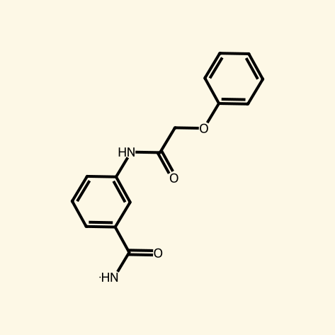 [NH]C(=O)c1cccc(NC(=O)COc2ccccc2)c1